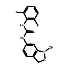 O=C(Nc1ccc2c(c1)B(O)OC2)Nc1c(F)cccc1F